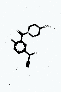 C#CC(O)c1ccc(F)c(C(=O)N2CCC(OC)CC2)c1